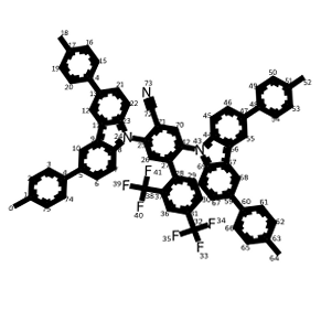 Cc1ccc(-c2ccc3c(c2)c2cc(-c4ccc(C)cc4)ccc2n3-c2cc(-c3ccc(C(F)(F)F)cc3C(F)(F)F)c(-n3c4ccc(-c5ccc(C)cc5)cc4c4cc(-c5ccc(C)cc5)ccc43)cc2C#N)cc1